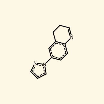 C1=Nc2ccc(-n3cccn3)cc2CC1